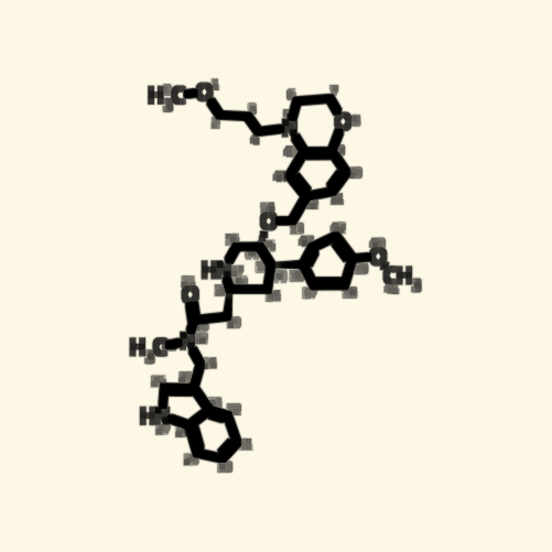 COCCCN1CCOc2ccc(CO[C@H]3CN[C@H](CC(=O)N(C)Cc4c[nH]c5ccccc45)C[C@@H]3c3ccc(OC)cc3)cc21